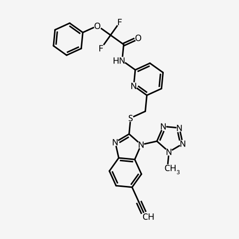 C#Cc1ccc2nc(SCc3cccc(NC(=O)C(F)(F)Oc4ccccc4)n3)n(-c3nnnn3C)c2c1